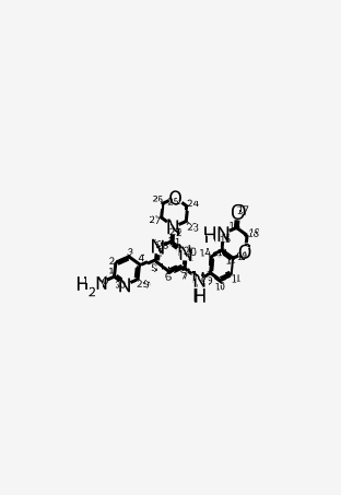 Nc1ccc(-c2cc(Nc3ccc4c(c3)NC(=O)CO4)nc(N3CCOCC3)n2)cn1